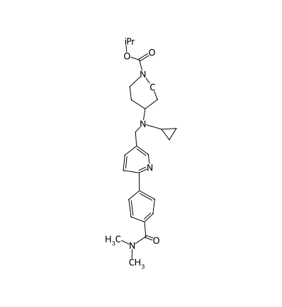 CC(C)OC(=O)N1CCC(N(Cc2ccc(-c3ccc(C(=O)N(C)C)cc3)nc2)C2CC2)CC1